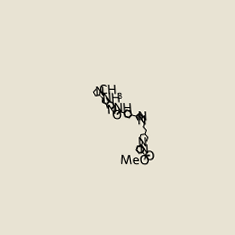 COC(=O)c1cccc(N2CCC(CCCn3cc(-c4ccc(C(=O)Nc5cc6[nH]c([C@H]7CCCN7C)cc6cn5)cc4)cn3)CC2)n1